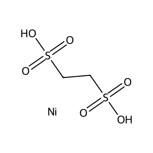 O=S(=O)(O)CCS(=O)(=O)O.[Ni]